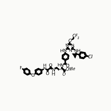 COC(=O)[C@H](CCNC(=O)C(=O)Nc1ccc(Oc2ccc(F)cc2)cc1)NC(=O)c1ccc(Nc2nc(NC3(c4ccc(Cl)cc4)CC3)nc(OCC(F)(F)F)n2)cc1